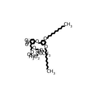 CCCCCCCCCCCCOc1cc(COc2ccc([N+](=O)[O-])c(CC(COC(N)=O)OCCP(=O)(OCC)OCC)c2)cc(OCCCCCCCCCCCC)c1